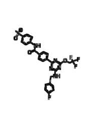 CS(=O)(=O)c1ccc(NC(=O)c2ccc(-c3nc(NCc4ccc(F)cc4)nc(OCC(F)(F)F)n3)cc2)cc1